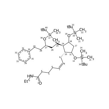 CCNC(=O)CCC/C=C\C[C@H]1C(O[Si](C)(C)C(C)(C)C)CC(O[Si](C)(C)C(C)(C)C)[C@@H]1CC[C@@H](CCc1ccccc1)O[Si](C)(C)C(C)(C)C